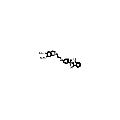 COc1cc2c(cc1OC)CN(CCCOc1ccc(S(=O)(=O)c3c(C(C)C)c4ccccc4n3C)cc1)CC2